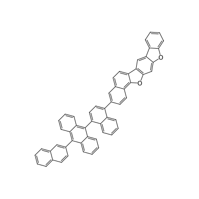 c1ccc2cc(-c3c4ccccc4c(-c4ccc(-c5ccc6c(ccc7c8cc9c(cc8oc67)oc6ccccc69)c5)c5ccccc45)c4ccccc34)ccc2c1